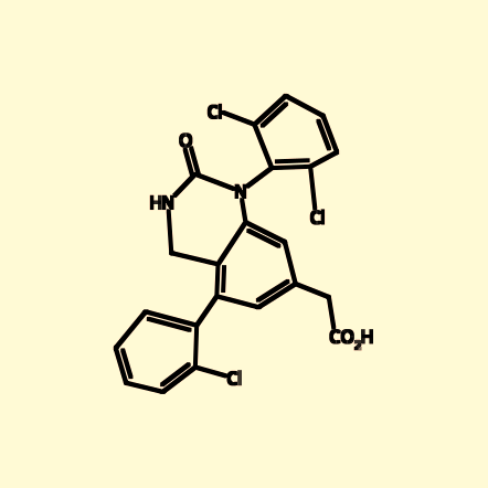 O=C(O)Cc1cc(-c2ccccc2Cl)c2c(c1)N(c1c(Cl)cccc1Cl)C(=O)NC2